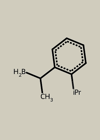 BC(C)c1ccccc1C(C)C